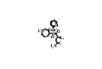 CCC(CC(N)=O)C(=O)[N@+]([O-])(C1CCCNCC1)S(=O)(=O)c1ccccn1